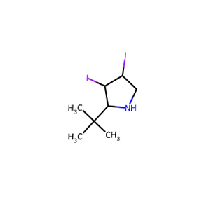 CC(C)(C)C1NCC(I)C1I